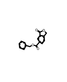 O=C(OCc1ccccc1)c1ccc2c(c1)C(=O)OC2